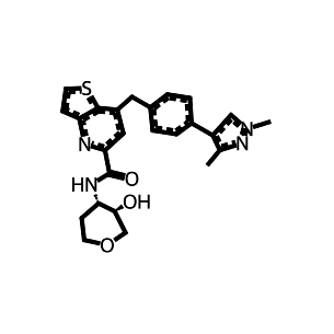 Cc1nn(C)cc1-c1ccc(Cc2cc(C(=O)N[C@H]3CCOC[C@@H]3O)nc3ccsc23)cc1